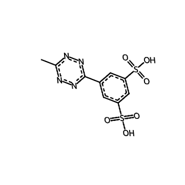 Cc1nnc(-c2cc(S(=O)(=O)O)cc(S(=O)(=O)O)c2)nn1